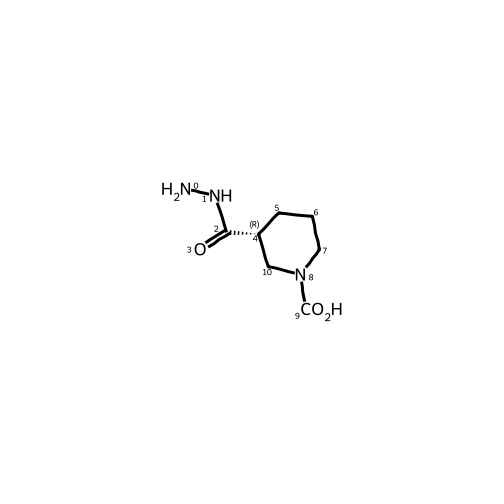 NNC(=O)[C@@H]1CCCN(C(=O)O)C1